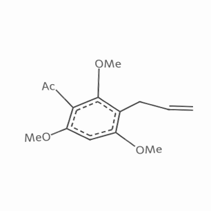 C=CCc1c(OC)cc(OC)c(C(C)=O)c1OC